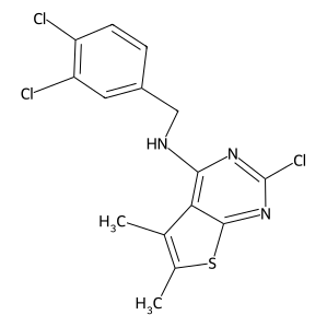 Cc1sc2nc(Cl)nc(NCc3ccc(Cl)c(Cl)c3)c2c1C